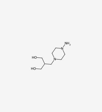 NN1CCN(CC(CO)CO)CC1